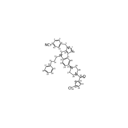 N#Cc1ccc(Cn2cncc2CN(CCCc2ccccc2)c2ccc(N3CCN(C(=O)c4ccc(Cl)s4)CC3)cc2)cc1